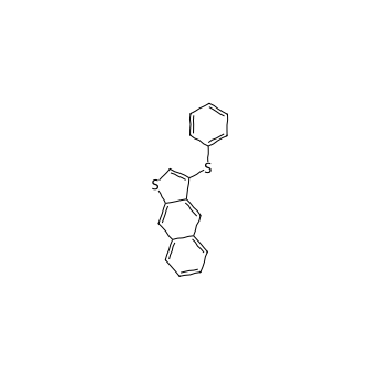 c1ccc(Sc2csc3cc4ccccc4cc23)cc1